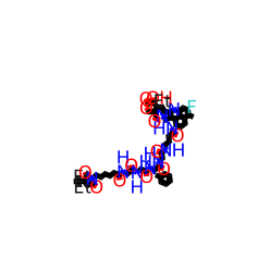 CCC(C)(CC)C1=CC(=O)N(CCCCCC(=O)NCC(=O)NCC(=O)N[C@@H](Cc2ccccc2)C(=O)NCC(=O)NCCCC(=O)N[C@H]2CCc3c(C)c(F)cc4nc5c(c2c34)Cn2c-5cc3c(c2=O)COC(=O)[C@]3(O)CC)C1=O